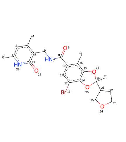 Cc1cc(C)c(CNC(=O)c2cc(Br)c3c(c2C)OC(C)(C2CCOC2)O3)c(=O)[nH]1